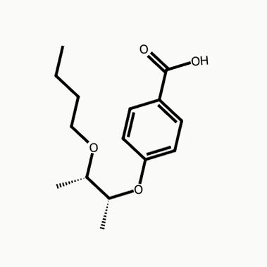 CCCCO[C@@H](C)[C@@H](C)Oc1ccc(C(=O)O)cc1